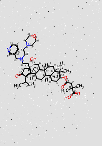 CC(C)C1=C2[C@H]3CC[C@@H]4[C@@]5(C)CC[C@H](OC(=O)CC(C)(C)C(=O)O)C(C)(C)[C@H]5CC[C@@]4(C)[C@]3(C)CC[C@@]2([C@@H](O)CN(CCN2CCOCC2)Cc2cccnc2)CC1=O